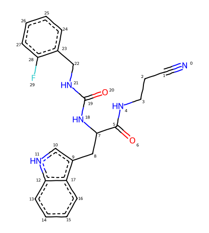 N#CCCNC(=O)C(Cc1c[nH]c2ccccc12)NC(=O)NCc1ccccc1F